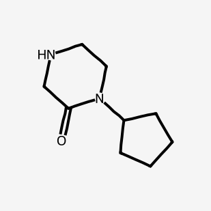 O=C1CNCCN1C1CCCC1